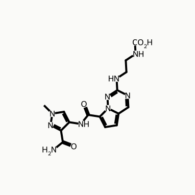 Cn1cc(NC(=O)c2ccc3cnc(NCCNC(=O)O)nn23)c(C(N)=O)n1